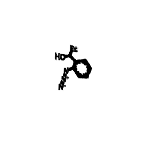 CCC(O)c1ccccc1N=[N+]=[N-]